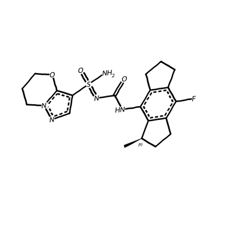 C[C@@H]1CCc2c(F)c3c(c(NC(=O)N=S(N)(=O)c4cnn5c4OCCC5)c21)CCC3